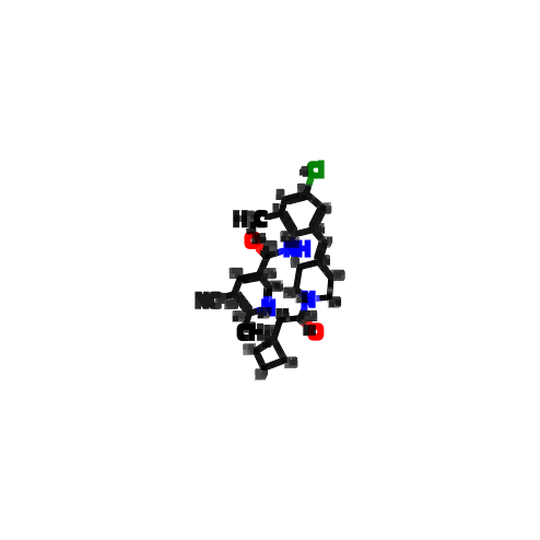 Cc1cc(Cl)cc(C=C2CCN(C(=O)CC3CCC3)CC2)c1NC(=O)c1cnc(C)c(C#N)c1